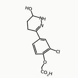 O=C(O)COc1ccc(C2=NNC(O)CC2)cc1Cl